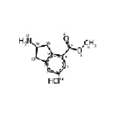 COC(=O)c1cccc2c1CC(N)C2.Cl